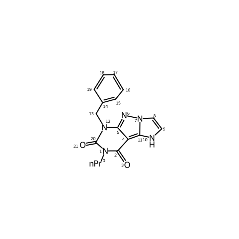 CCCn1c(=O)c2c(nn3cc[nH]c23)n(Cc2ccccc2)c1=O